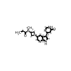 C=CC(=O)N(C)C1CN(c2cnc3[nH]cc(-c4cc(=O)[nH]cn4)c3c2)C1